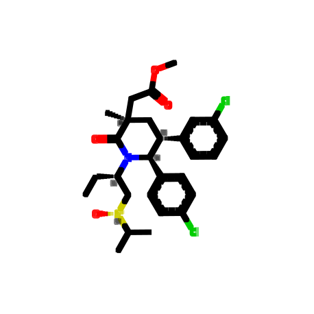 CC[C@@H](C[S@@+]([O-])C(C)C)N1C(=O)[C@@](C)(CC(=O)OC)C[C@H](c2cccc(Cl)c2)[C@H]1c1ccc(Cl)cc1